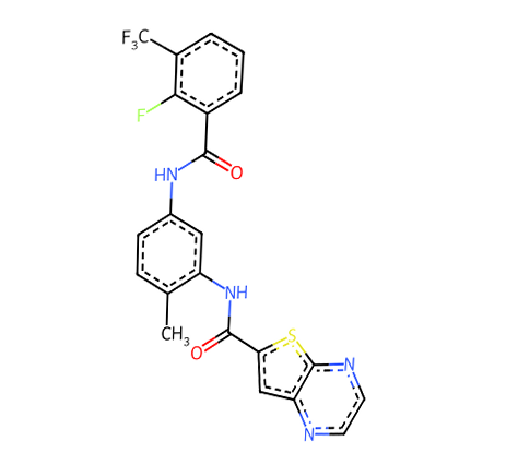 Cc1ccc(NC(=O)c2cccc(C(F)(F)F)c2F)cc1NC(=O)c1cc2nccnc2s1